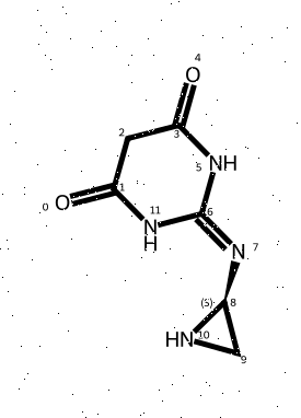 O=C1CC(=O)NC(=N[C@H]2CN2)N1